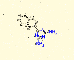 Nc1nc(N)nc(-c2ccc3ccccc3c2)n1